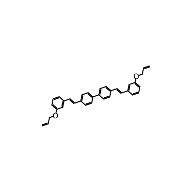 C=CCOc1cccc(C=Cc2ccc(-c3ccc(C=Cc4cccc(OCC=C)c4)cc3)cc2)c1